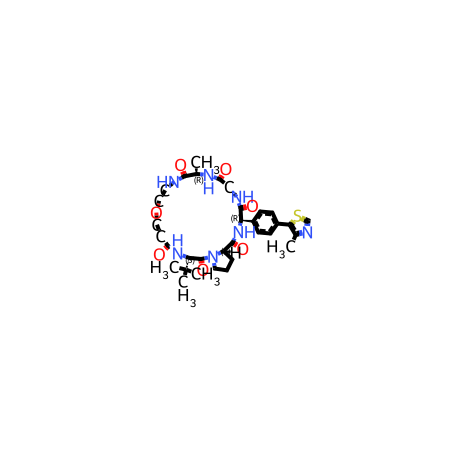 Cc1ncsc1-c1ccc([C@H]2NC(=O)[C@@H]3CCCN3C(=O)[C@H](C(C)(C)C)NC(=O)CCOCCNC(=O)[C@@H](C)NC(=O)CNC2=O)cc1